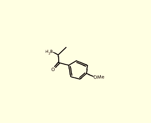 BC(C)C(=O)c1ccc(OC)cc1